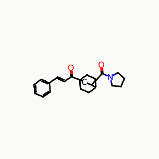 O=C(C1CC2(C(=O)C=Cc3ccccc3)CCC1CC2)N1CCCC1